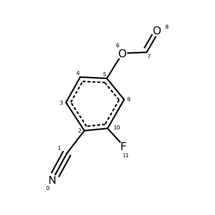 N#Cc1ccc(OC=O)cc1F